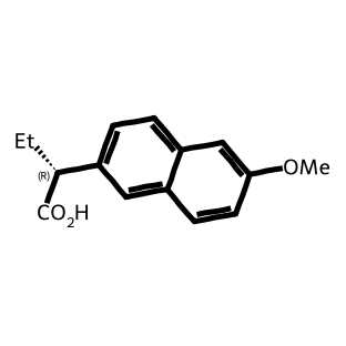 CC[C@@H](C(=O)O)c1ccc2cc(OC)ccc2c1